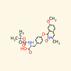 COc1ccc2cc(C)[n+]([O-])c(Oc3ccc(C[C@H](NC(=O)OC(C)(C)C)C(=O)O)cc3)c2c1